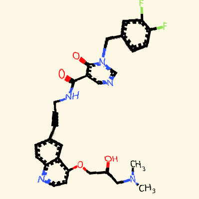 CN(C)CC(O)COc1ccnc2ccc(C#CCNC(=O)c3cncn(Cc4ccc(F)c(F)c4)c3=O)cc12